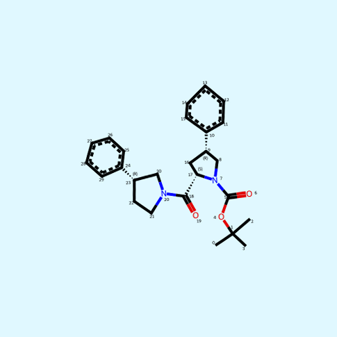 CC(C)(C)OC(=O)N1C[C@@H](c2ccccc2)C[C@H]1C(=O)N1CC[C@H](c2ccccc2)C1